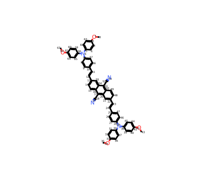 COc1ccc(N(c2ccc(C=Cc3ccc4c(C#N)c5cc(C=Cc6ccc(N(c7ccc(OC)cc7)c7ccc(OC)cc7)cc6)ccc5c(C#N)c4c3)cc2)c2ccc(OC)cc2)cc1